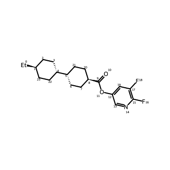 CC[C@H]1CC[C@H]([C@H]2CC[C@H](C(=O)Oc3cnc(F)c(F)c3)CC2)CC1